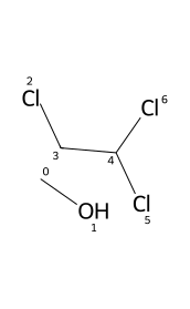 CO.ClCC(Cl)Cl